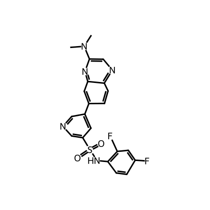 CN(C)c1cnc2ccc(-c3cncc(S(=O)(=O)Nc4ccc(F)cc4F)c3)cc2n1